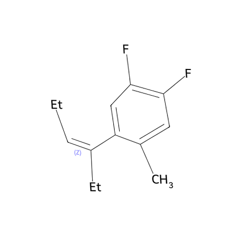 CC/C=C(/CC)c1cc(F)c(F)cc1C